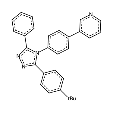 CC(C)(C)c1ccc(-c2nnc(-c3ccccc3)n2-c2ccc(-c3cccnc3)cc2)cc1